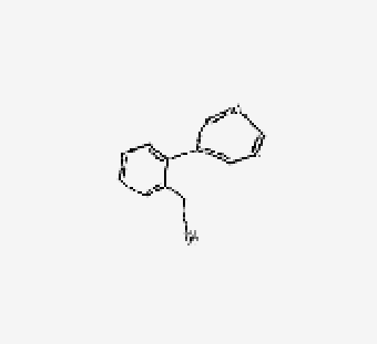 OCc1ccccc1-c1c[c]cnc1